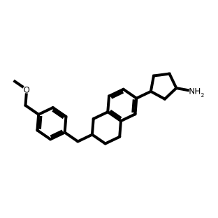 COCc1ccc(CC2CCc3cc(C4CCC(N)C4)ccc3C2)cc1